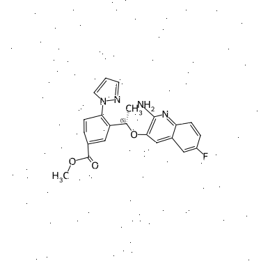 COC(=O)c1ccc(-n2cccn2)c([C@H](C)Oc2cc3cc(F)ccc3nc2N)c1